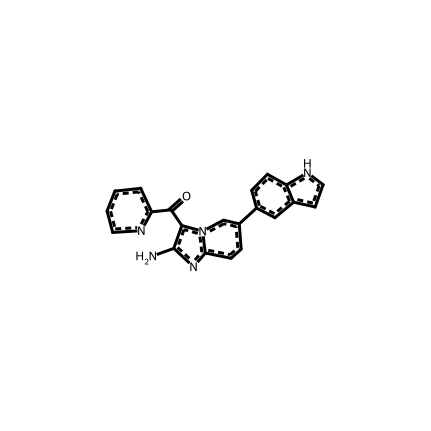 Nc1nc2ccc(-c3ccc4[nH]ccc4c3)cn2c1C(=O)c1ccccn1